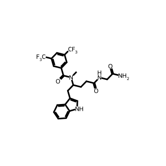 CN(C(=O)c1cc(C(F)(F)F)cc(C(F)(F)F)c1)C(CCC(=O)NCC(N)=O)Cc1c[nH]c2ccccc12